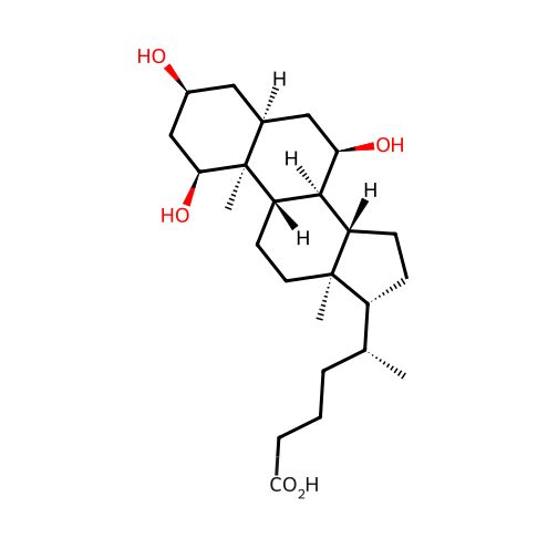 C[C@H](CCCC(=O)O)[C@H]1CC[C@H]2[C@@H]3[C@H](O)C[C@@H]4C[C@H](O)C[C@H](O)[C@]4(C)[C@H]3CC[C@]12C